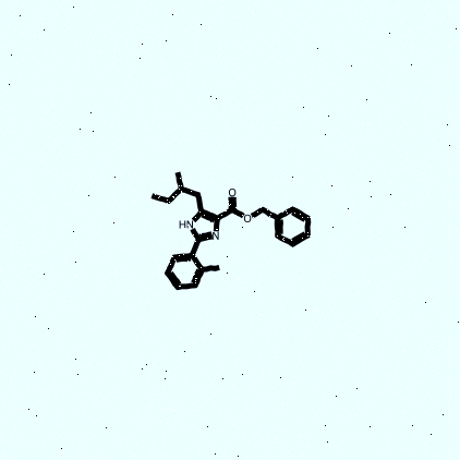 CCC(C)Cc1[nH]c(-c2ccccc2C)nc1C(=O)OCc1ccccc1